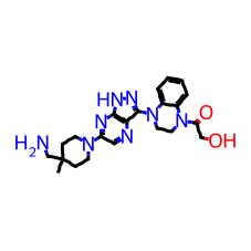 CC1(CN)CCN(c2cnc3c(N4CCN(C(=O)CO)c5ccccc54)n[nH]c3n2)CC1